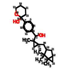 CC1(C(O)c2ccc(C3(O)CCCCO3)cc2)CC1CC1CC2CC2(C)C1(C)C